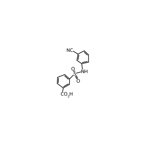 N#Cc1cccc(NS(=O)(=O)c2cccc(C(=O)O)c2)c1